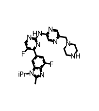 Cc1nc2c(F)cc(-c3nc(Nc4cnc(CN5CCNCC5)cn4)ncc3F)cc2n1C(C)C